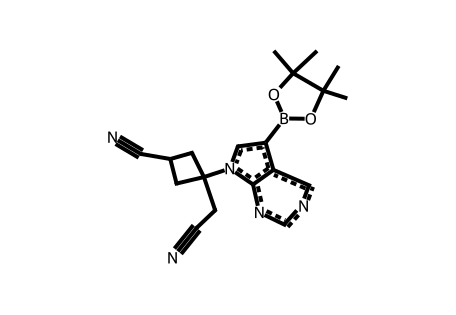 CC1(C)OB(c2cn(C3(CC#N)CC(C#N)C3)c3ncncc23)OC1(C)C